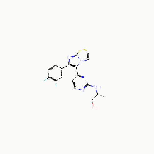 CC(C)[C@@H](CO)Nc1nccc(-c2c(-c3ccc(F)c(F)c3)nc3sccn23)n1